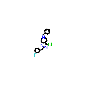 Fc1cccc(Cc2nc(Cl)c3c(n2)CCN(Cc2ccccc2)CC3)c1